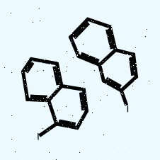 Ic1ccc2ccccc2c1.Ic1cccc2ccccc12